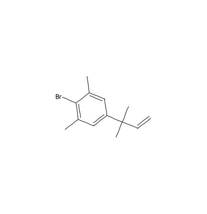 C=CC(C)(C)c1cc(C)c(Br)c(C)c1